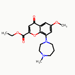 CCOC(=O)c1cc(=O)c2cc(OC)cc(N3CCCN(C)CC3)c2o1